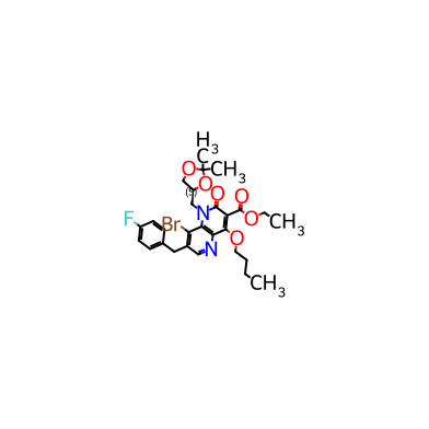 CCCCOc1c(C(=O)OCC)c(=O)n(C[C@H]2COC(C)(C)O2)c2c(Br)c(Cc3ccc(F)cc3)cnc12